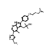 Cc1c(-c2cc(N)no2)cnc2[nH]c(-c3ccc(OCCCN(C)C)cc3)c(CC(C)(C)O)c12